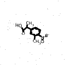 Cc1cc(C(C)C(=O)O)ccc1[N+](=O)[O-]